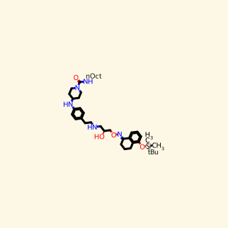 CCCCCCCCNC(=O)N1CCC(Nc2ccc(CCNC[C@H](O)CON=C3CCCc4c(O[Si](C)(C)C(C)(C)C)cccc43)cc2)CC1